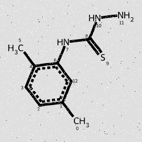 Cc1ccc(C)c(NC(=S)NN)c1